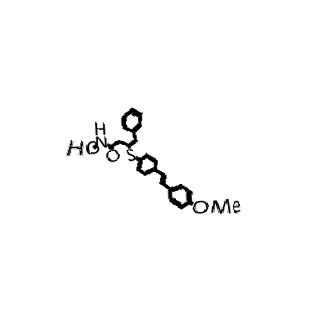 COc1ccc(C=Cc2ccc(SC(CC(=O)NO)Cc3ccccc3)cc2)cc1